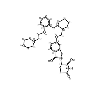 O=C1CCC(N2Cc3cc(OCC4CCCCN4Cc4ccccc4OCCN4CCOCC4)ccc3C2=O)C(=O)N1